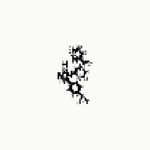 CC(C)Cc1ccc(-c2nn[nH]n2)c(N2CCN(C(C)c3cccnn3)CC2)c1